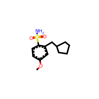 COc1ccc(S(N)(=O)=O)c(CC2CCCC2)c1